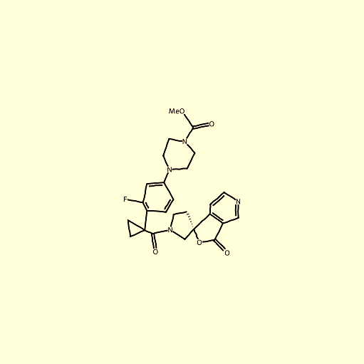 COC(=O)N1CCN(c2ccc(C3(C(=O)N4CC[C@@]5(C4)OC(=O)c4cnccc45)CC3)c(F)c2)CC1